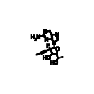 CC#C[C@@]1(F)C(O)[C@@H]([C@H](C)O)O[C@H]1n1cnc2cnc(N)nc21